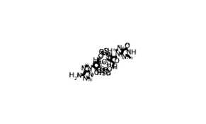 Cc1nc2c(ncn2[C@@H]2O[C@@H]3CO[P@@](=O)(S)O[C@@H]4[C@@H](CO[P@@](=O)(S)O[C@@H]2[C@@H]3CO)C[C@@H](n2cnc3c(N)ncnc32)[C@@H]4O)c(=O)[nH]1